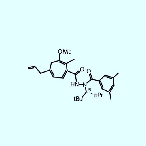 C=CCC1=CC=C(C(=O)NN(C(=O)c2cc(C)cc(C)c2)[C@H](CCC)C(C)(C)C)C(C)=C(OC)C1